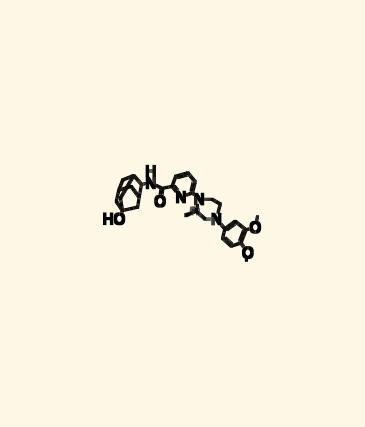 COc1ccc(N2CCN(c3cccc(C(=O)NC4C5CC6CC4CC(O)(C6)C5)n3)[C@H](C)C2)cc1OC